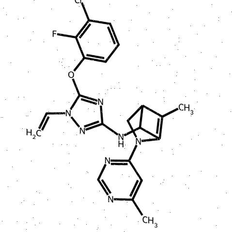 C=Cn1nc(NC2C3=C(C)C2CN3c2cc(C)ncn2)nc1Oc1cccc(Cl)c1F